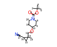 CC(C)(C)OC(=O)N1CCC(OCC2(C)CC2C#N)CC1